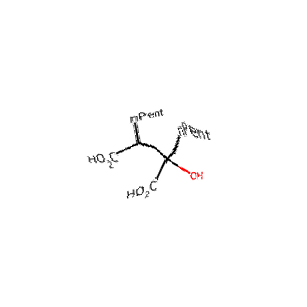 CCCCCC(C(=O)O)C(O)(CCCCC)C(=O)O